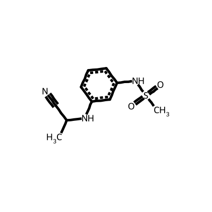 CC(C#N)Nc1cccc(NS(C)(=O)=O)c1